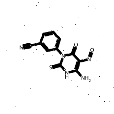 N#Cc1cccc(-n2c(=S)[nH]c(N)c(N=O)c2=O)c1